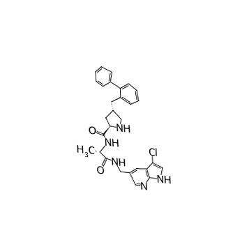 C[C@H](NC(=O)[C@H]1C[C@H](Cc2ccccc2-c2ccccc2)CN1)C(=O)NCc1cnc2[nH]cc(Cl)c2c1